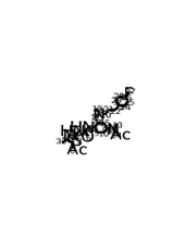 CC(=O)c1sc(NC(=O)N[C@@H]2CC[C@@H](N(C)C(C)=O)C[C@H]2CN(C)CCCc2ccc(F)cc2)nc1C